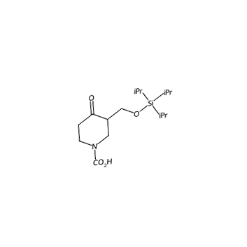 CC(C)[Si](OCC1CN(C(=O)O)CCC1=O)(C(C)C)C(C)C